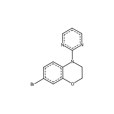 Brc1ccc2c(c1)OCCN2c1ncccn1